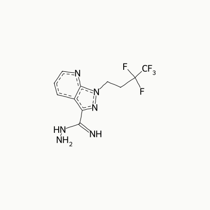 N=C(NN)c1nn(CCC(F)(F)C(F)(F)F)c2ncccc12